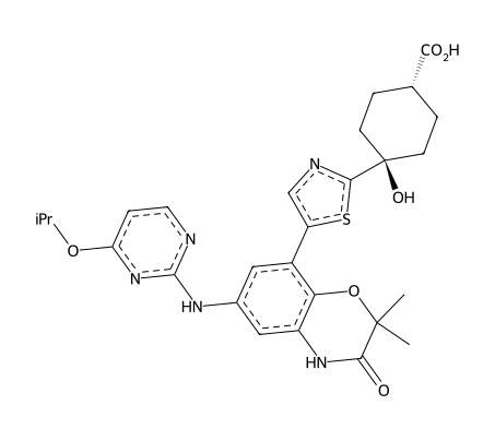 CC(C)Oc1ccnc(Nc2cc3c(c(-c4cnc([C@]5(O)CC[C@H](C(=O)O)CC5)s4)c2)OC(C)(C)C(=O)N3)n1